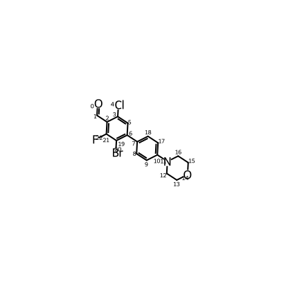 O=Cc1c(Cl)cc(-c2ccc(N3CCOCC3)cc2)c(Br)c1F